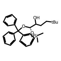 C[SiH](C)O[C@H](OC(c1ccccc1)(c1ccccc1)c1ccccc1)C(O)CCC(C)(C)C